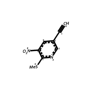 C#Cc1cnc(SC)c([N+](=O)[O-])c1